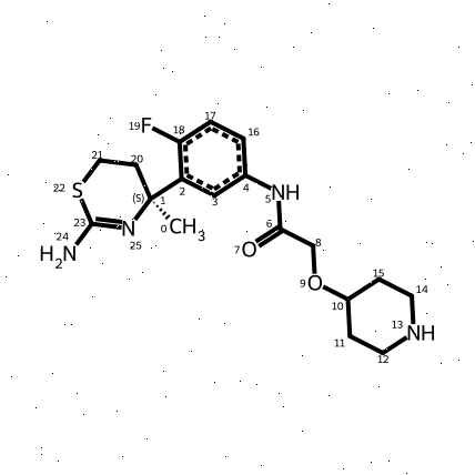 C[C@@]1(c2cc(NC(=O)COC3CCNCC3)ccc2F)CCSC(N)=N1